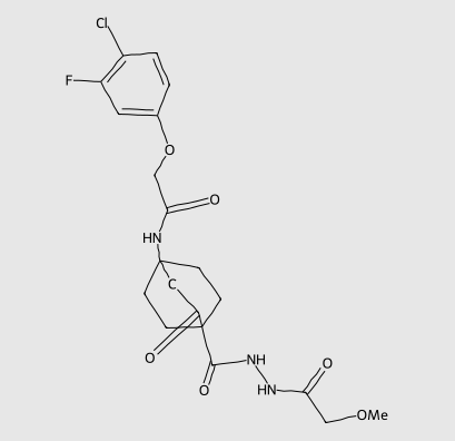 COCC(=O)NNC(=O)C12CCC(NC(=O)COc3ccc(Cl)c(F)c3)(CC1)CC2=O